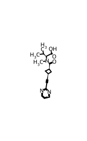 CC(C)[C@@H](C(=O)O)N(C)C(=O)[C@H]1C[C@@H](C#Cc2ncccn2)C1